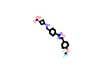 O=C(O)[C@H]1C[C@@H](NCc2ccc(-c3noc(-c4ccc(OC(F)(F)F)cc4)n3)cc2)C1